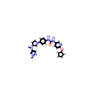 CN(c1cnn(C)c1)C1CCN(c2ccc(NC(=O)Nc3ccc(OC4CCCC4)nc3)cc2)C1